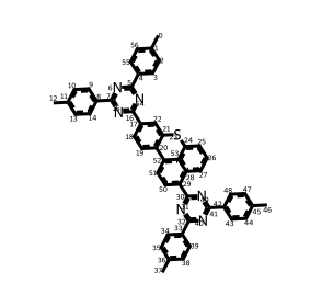 Cc1ccc(-c2nc(-c3ccc(C)cc3)nc(-c3ccc4c(c3)Sc3cccc5c(-c6nc(-c7ccc(C)cc7)nc(-c7ccc(C)cc7)n6)ccc-4c35)n2)cc1